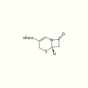 CCCCCC1=CN2C(=O)C[C@@H]2SC1